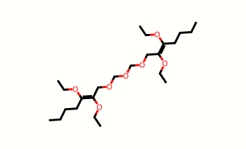 CCCCC(OCC)=C(COCOCOCC(OCC)=C(CCCC)OCC)OCC